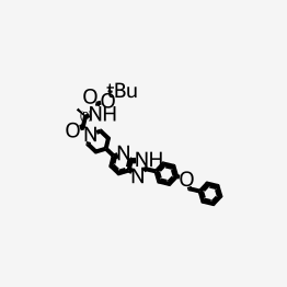 C[C@@H](NC(=O)OC(C)(C)C)C(=O)N1CCC(c2ccc3nc(-c4ccc(OCc5ccccc5)cc4)[nH]c3n2)CC1